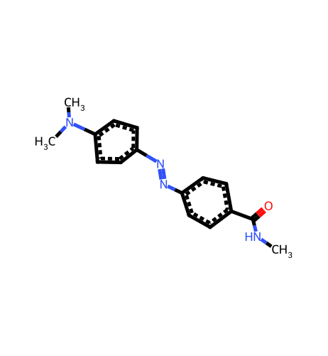 CNC(=O)c1ccc(N=Nc2ccc(N(C)C)cc2)cc1